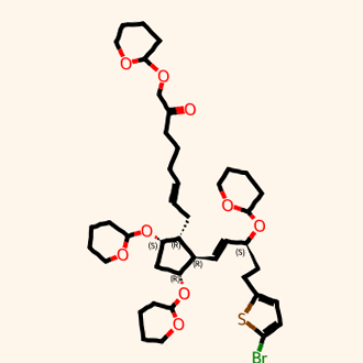 O=C(CCCC=CC[C@@H]1[C@@H](C=C[C@H](CCc2ccc(Br)s2)OC2CCCCO2)[C@H](OC2CCCCO2)C[C@@H]1OC1CCCCO1)COC1CCCCO1